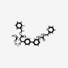 N[C@H](c1ccc(-c2cccc(NC(=O)NCc3ccccn3)c2)cc1)[C@H](C(=O)O)C(=O)OCc1ccccc1